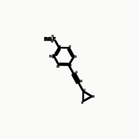 CCOC(=O)c1ccc(C#CC2CC2)cn1